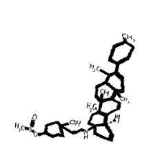 CC1CC=C(C2=CCC3(C)C(CCC4(C)C3CCC3[C@H]5CCCC5(NCCC5(O)CCC(OS(C)=O)CC5)CC[C@]34C)C2C)CC1